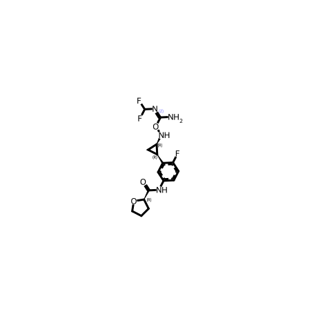 N/C(=N/C(F)F)ON[C@@H]1C[C@@H]1c1cc(NC(=O)[C@H]2CCCO2)ccc1F